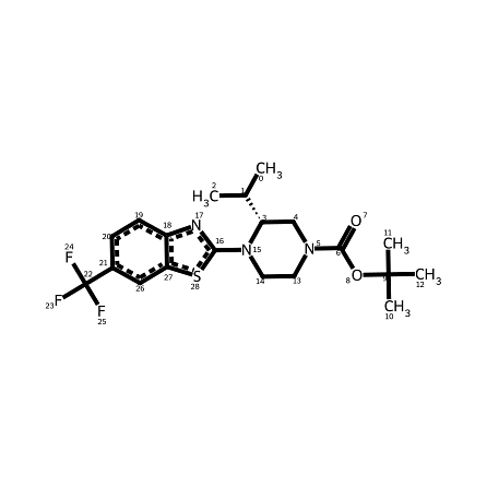 CC(C)[C@@H]1CN(C(=O)OC(C)(C)C)CCN1c1nc2ccc(C(F)(F)F)cc2s1